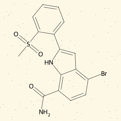 CS(=O)(=O)c1ccccc1-c1cc2c(Br)ccc(C(N)=O)c2[nH]1